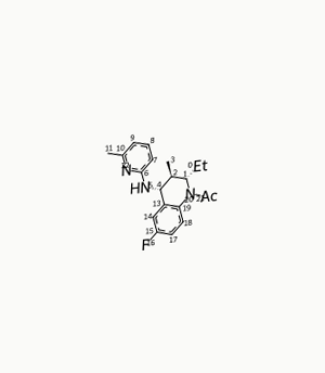 CC[C@H]1[C@H](C)[C@@H](Nc2cccc(C)n2)c2cc(F)ccc2N1C(C)=O